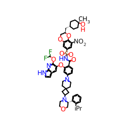 CC(C)c1ccccc1[C@@H]1COCCN1C1CC2(CCN(c3ccc(C(=O)NS(=O)(=O)c4cc5c(c([N+](=O)[O-])c4)O[C@H](C[C@H]4CC[C@](C)(O)CC4)CO5)c(Oc4cc5cc[nH]c5nc4OC(F)F)c3)CC2)C1